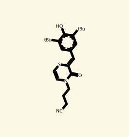 CC(C)(C)c1cc(C=C2SC=CN(CCCC#N)C2=O)cc(C(C)(C)C)c1O